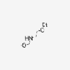 CCOCCNC[O]